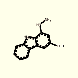 NNc1cc(C=O)cc2c1[nH]c1ccccc12